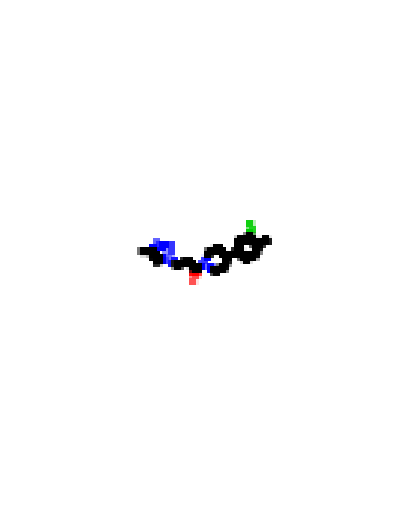 Cc1cn(CCC(=O)N2CCC(c3ccc(C)c(Cl)c3)CC2)nn1